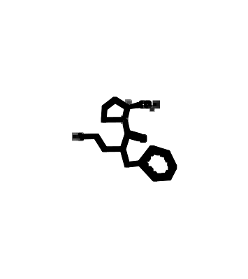 O=C(O)[C@@H]1CCCN1C(=O)C(CCS)Cc1ccccc1